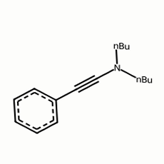 CCCCN(C#Cc1ccccc1)CCCC